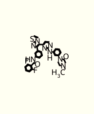 CCN1CCN(c2cccc(Nc3nccc(-c4c(-c5cccc(NC(=O)c6c(F)cccc6F)c5)nc5sccn45)n3)c2)C(=O)C1